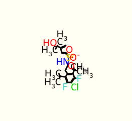 CC(C)c1c(F)c(Cl)c(F)c(C(C)C)c1CC(=O)N[S+]([O-])c1cc(C(C)(C)O)co1